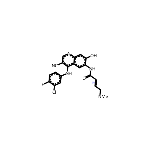 CNC/C=C/C(=O)Nc1cc2c(Nc3ccc(F)c(Cl)c3)c(C#N)cnc2cc1O